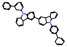 C1=CCC(c2ccc(N3C4C=CC=CC4C4C=C(c5ccc6c(c5)C5C=CC=CC5N6C5C=CC=C(c6ccccc6)C5)C=CC43)cc2)C=C1